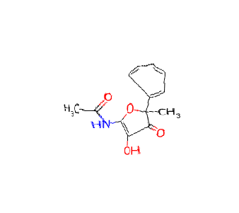 CC(=O)NC1=C(O)C(=O)C(C)(c2ccccc2)O1